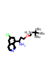 CCCC[C](CCCC)(CCCC)[SnH2][CH2]OCCC(N)c1cc(Cl)cc2ccncc12